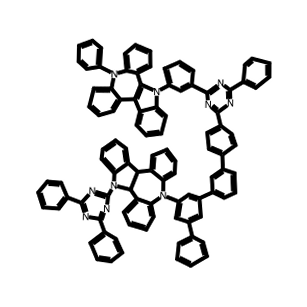 c1ccc(-c2cc(-c3cccc(-c4ccc(-c5nc(-c6ccccc6)nc(-c6cccc(-n7c8c(c9ccccc97)-c7ccccc7N(c7ccccc7)c7ccccc7-8)c6)n5)cc4)c3)cc(N3c4ccccc4C4c5ccccc5N(c5nc(-c6ccccc6)nc(-c6ccccc6)n5)C4c4ccccc43)c2)cc1